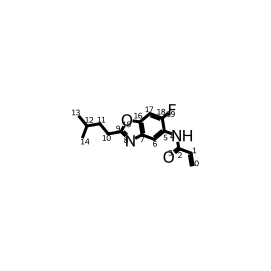 C=CC(=O)Nc1cc2nc(CCC(C)C)oc2cc1F